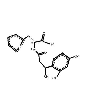 CC(CC(=O)N[C@H](Cc1ccccc1)C(=O)O)c1ccc(O)cc1O